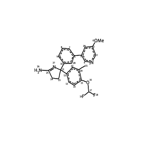 COc1cncc(-c2cccc(C3(c4ccc(OC(F)F)c(C)c4)CCC(N)=N3)c2)c1